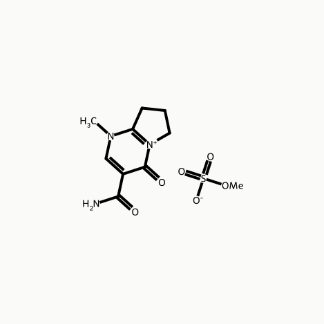 COS(=O)(=O)[O-].Cn1cc(C(N)=O)c(=O)[n+]2c1CCC2